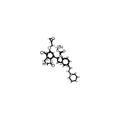 CC(C)(C)OC(=O)n1c(-c2cc(OCC3CO3)c(Cl)c3c2C(=O)NC3)cc2cc(CCN3CCCCC3)ccc21